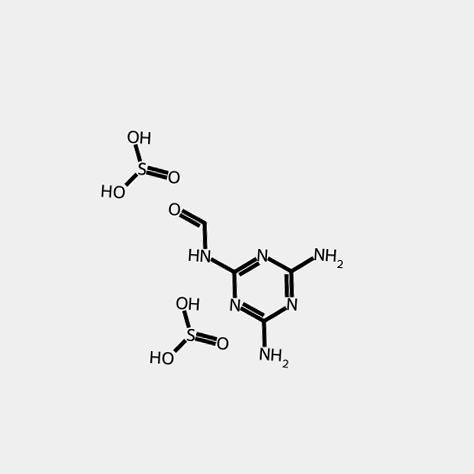 Nc1nc(N)nc(NC=O)n1.O=S(O)O.O=S(O)O